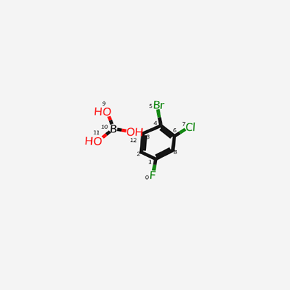 Fc1ccc(Br)c(Cl)c1.OB(O)O